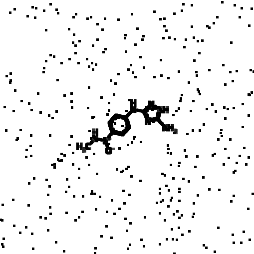 CN[S+]([O-])c1ccc(Nc2n[nH]c(N)n2)cc1